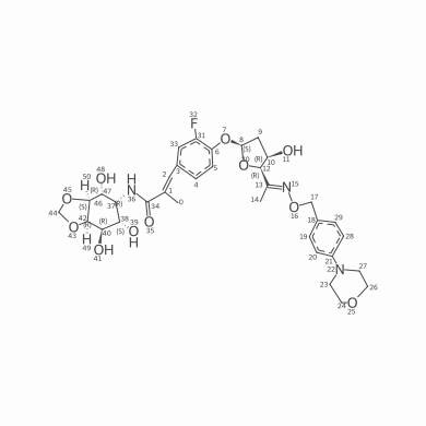 CC(=Cc1ccc(O[C@H]2C[C@@H](O)[C@@H](C(C)=NOCc3ccc(N4CCOCC4)cc3)O2)c(F)c1)C(=O)N[C@@H]1[C@H](O)[C@@H](O)[C@H]2OCO[C@H]2[C@@H]1O